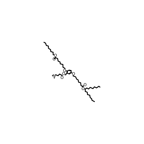 CCCCCCCCCOC(=O)CCCCCCCOc1ccc(OCCCCCCCC(=O)OC(CCCCCCCC)CCCCCCCC)cc1COC(=O)CCCN(C)C